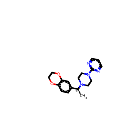 C[C@@H](c1ccc2c(c1)OCCO2)N1CCN(c2ncccn2)CC1